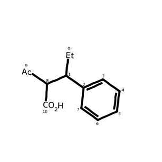 CCC(c1ccccc1)C(C(C)=O)C(=O)O